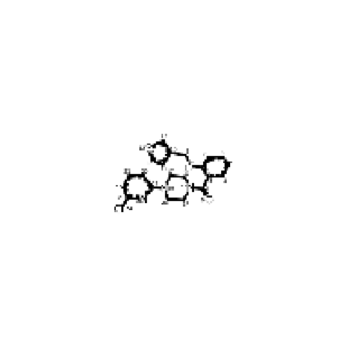 O=C(c1ccccc1SCc1ccsc1)N1CCN(c2cccc(Cl)n2)CC1